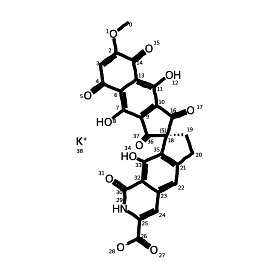 COC1=CC(=O)c2c(O)c3c(c(O)c2C1=O)C(=O)[C@]1(CCc2cc4cc(C(=O)[O-])[nH]c(=O)c4c(O)c21)C3=O.[K+]